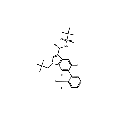 C[C@@H](NS(=O)(=O)C(C)(C)C)c1cn(CC(C)(C)C)c2cc(-c3ccccc3C(F)(F)F)c(F)cc12